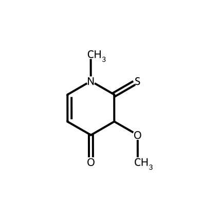 COC1C(=O)C=CN(C)C1=S